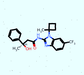 CC1(n2c(NC(=O)C[C@@](C)(O)c3ccccc3)nc3ccc(C(F)(F)F)cc32)CCC1